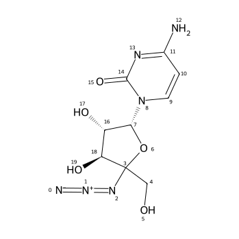 [N-]=[N+]=NC1(CO)O[C@@H](n2ccc(N)nc2=O)[C@@H](O)[C@@H]1O